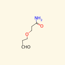 NC(=O)CCOCCC=O